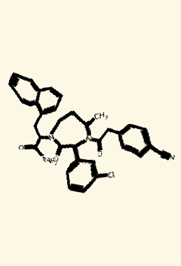 CC1CCN(C(Cc2cccc3ccccc23)C(N)=O)C(=O)C(c2cccc(Cl)c2)N1C(=O)Cc1ccc(C#N)cc1